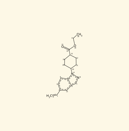 C=Cc1ccc2c(cnn2C2CCC(C(=O)OCC)CC2)c1